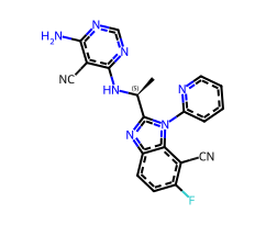 C[C@H](Nc1ncnc(N)c1C#N)c1nc2ccc(F)c(C#N)c2n1-c1ccccn1